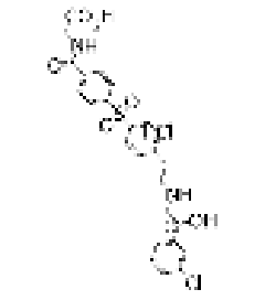 Cl.O=C(O)CNC(=O)c1ccc(S(=O)(=O)c2ccc(CCNC[C@@H](O)c3cccc(Cl)c3)cc2)cc1